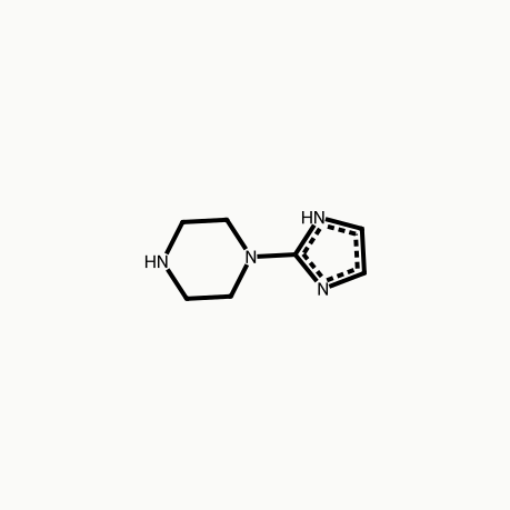 c1c[nH]c(N2CCNCC2)n1